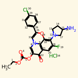 CCOC(=O)Oc1cn2c3c(c(N4CCC(N)C4)c(F)cc3c1=O)OC(c1ccc(Cl)cc1)=C2.Cl